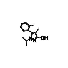 Cc1ccccc1-c1c(C)c(O)nn1C(C)C